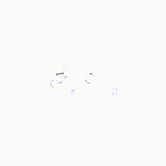 CN1C[C@H](Nc2nc3sccn3c(=O)c2Br)C[C@H](c2ccc(OCCC3CCNC3)cc2)C1